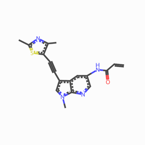 C=CC(=O)Nc1cnc2c(c1)c(C#Cc1sc(C)nc1C)cn2C